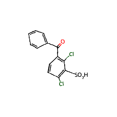 O=C(c1ccccc1)c1ccc(Cl)c(S(=O)(=O)O)c1Cl